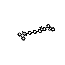 CC1(C)c2cc(-c3ccc(-c4ccc(-c5cnc6c7ccccc7c7ccccc7c6n5)cc4)cc3)ccc2-c2ccc(-c3cccc4c3oc3ccccc34)cc21